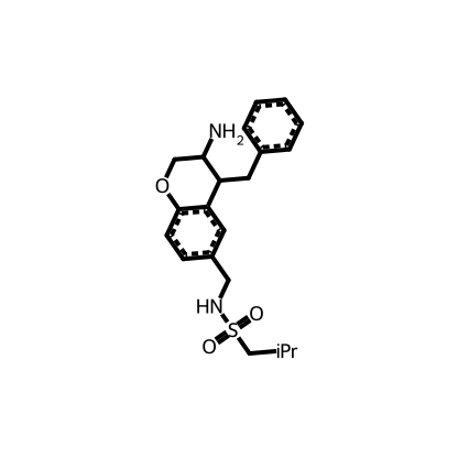 CC(C)CS(=O)(=O)NCc1ccc2c(c1)C(Cc1ccccc1)C(N)CO2